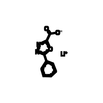 O=C([O-])c1nnc(-c2ccccc2)o1.[Li+]